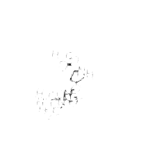 CCN(/[N+]([O-])=N/O[C@H]1CN[C@H](C(=O)OC)C1)C(C)(C)C